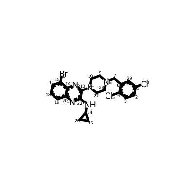 Clc1ccc(Cl)c(CN2CCN(c3nc4c(Br)cccc4nc3NC3CC3)CC2)c1